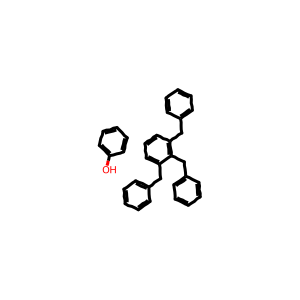 Oc1ccccc1.c1ccc(Cc2cccc(Cc3ccccc3)c2Cc2ccccc2)cc1